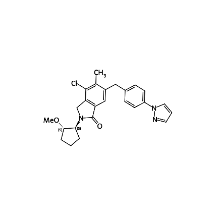 CO[C@H]1CCC[C@@H]1N1Cc2c(cc(Cc3ccc(-n4cccn4)cc3)c(C)c2Cl)C1=O